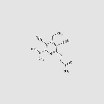 CCc1c(C#N)c(SCC(N)=O)nc(N(C)C)c1C#N